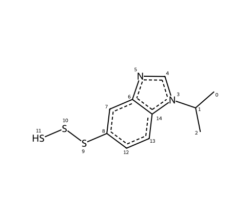 CC(C)n1cnc2cc(SSS)ccc21